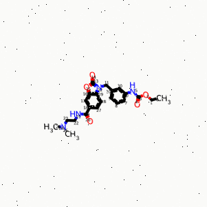 CCOC(=O)Nc1cccc(Cn2c(=O)oc3cc(C(=O)NCCN(C)C)ccc32)c1